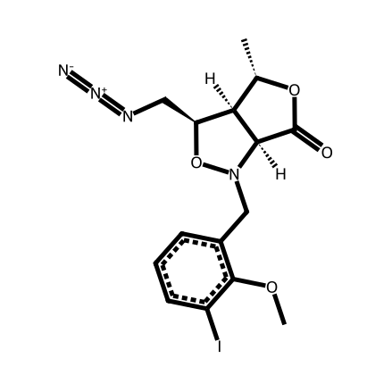 COc1c(I)cccc1CN1O[C@@H](CN=[N+]=[N-])[C@H]2[C@H](C)OC(=O)[C@H]21